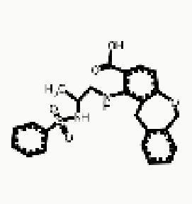 CC(CNc1c(C(=O)O)ccc2c1Cc1ccccc1CO2)NS(=O)(=O)c1ccccc1